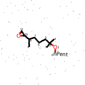 CCCCCOC(C)(C)CCCC(C)C1CO1